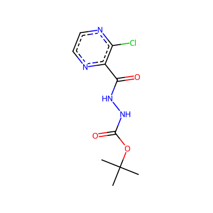 CC(C)(C)OC(=O)NNC(=O)c1nccnc1Cl